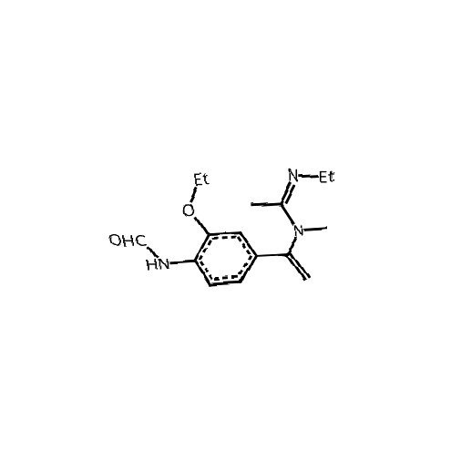 C=C(c1ccc(NC=O)c(OCC)c1)N(C)/C(C)=N\CC